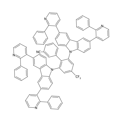 N#Cc1cccc(-c2c(-n3c4ccc(-c5cccnc5-c5ccccc5)cc4c4cc(-c5cccnc5-c5ccccc5)ccc43)cc(C(F)(F)F)cc2-n2c3ccc(-c4cccnc4-c4ccccc4)cc3c3cc(-c4cccnc4-c4ccccc4)ccc32)c1